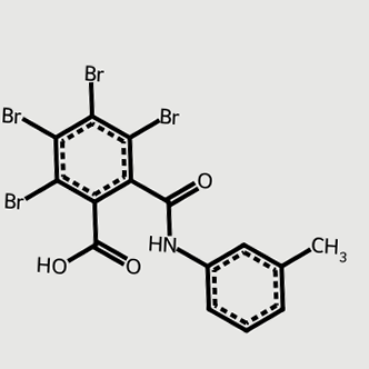 Cc1cccc(NC(=O)c2c(Br)c(Br)c(Br)c(Br)c2C(=O)O)c1